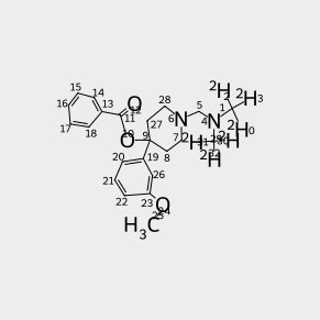 [2H]C([2H])([2H])N(CN1CCC(OC(=O)c2ccccc2)(c2cccc(OC)c2)CC1)C([2H])([2H])[2H]